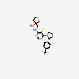 OC1(CNc2ncnc(N3CCC[C@@H]3c3ccc(C(F)(F)F)cc3)c2F)CCSC1